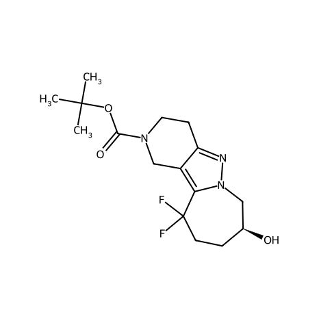 CC(C)(C)OC(=O)N1CCc2nn3c(c2C1)C(F)(F)CC[C@H](O)C3